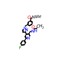 C=CC(=O)NCc1cnc(-c2ccc(F)cc2)cc1-c1ccn(Cc2cccc(C(=O)NC)c2)n1